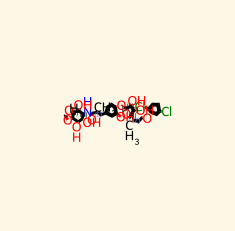 C/C(=C/COc1cc(Cl)ccc1Cl)[C@H]1O[C@@H](Oc2ccc(/C=C(\C)C(=O)N[C@@H]3C(O)C(O)C4OCO[C@H]4[C@@H]3O)cc2O)[C@@H](O)[C@@H]1O